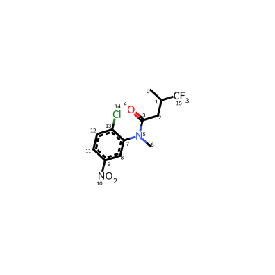 CC(CC(=O)N(C)c1cc([N+](=O)[O-])ccc1Cl)C(F)(F)F